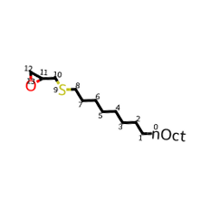 CCCCCCCCCCCCCCCCSCC1CO1